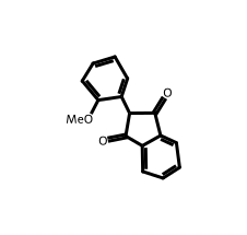 COc1ccccc1C1C(=O)c2ccccc2C1=O